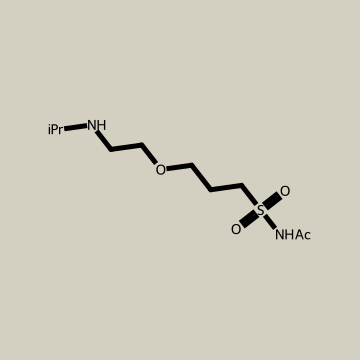 CC(=O)NS(=O)(=O)CCCOCCNC(C)C